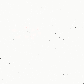 CCCCCCCCCC(CCCCCCC)COP(=O)(O)OC1=C(O)[C@@H](C(O)CO)OC1=O